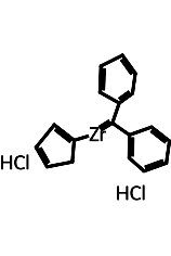 C1=CC[C]([Zr]=[C](c2ccccc2)c2ccccc2)=C1.Cl.Cl